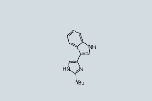 [CH2]CCCc1nc(-c2c[nH]c3ccccc23)c[nH]1